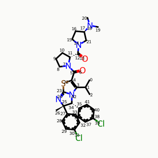 CC(C)C1=C(C(=O)N2CCC[C@@H]2C(=O)N2CC[C@@H](N(C)C)C2)SC2=N[C@@](C)(c3ccc(Cl)cc3)[C@@H](c3ccc(Cl)cc3)N21